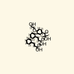 CC(C)(O)C(=O)c1ccc(OCCO)cc1.O=C(O)C=Cc1ccccc1.O=C(O)C=Cc1ccccc1